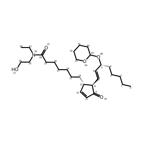 CCCCC[C@H](/C=C/[C@H]1C(=O)C=C[C@@H]1CCCCCCC(=O)N(CC)CCO)OC1CCCCO1